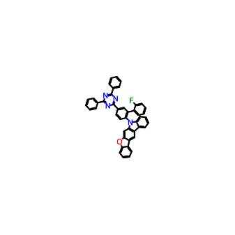 Fc1ccccc1-c1cc(-c2nc(-c3ccccc3)nc(-c3ccccc3)n2)ccc1-n1c2ccccc2c2cc3c(cc21)oc1ccccc13